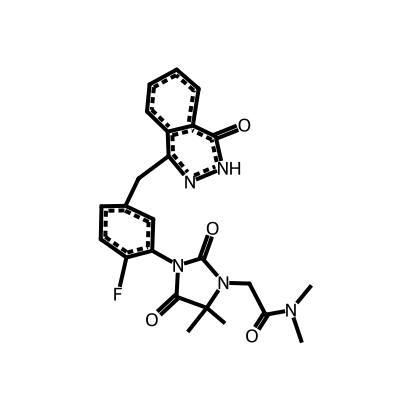 CN(C)C(=O)CN1C(=O)N(c2cc(Cc3n[nH]c(=O)c4ccccc34)ccc2F)C(=O)C1(C)C